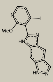 COc1nccc(I)c1-c1nc2cc3cn[nH]c3cc2[nH]1